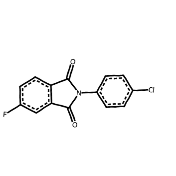 O=C1c2ccc(F)cc2C(=O)N1c1ccc(Cl)cc1